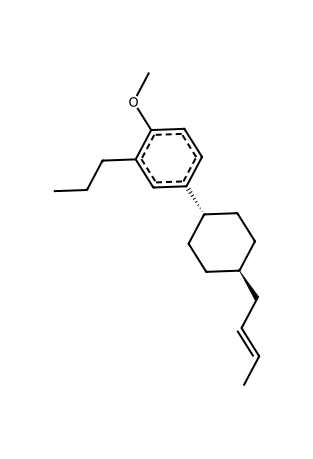 CC=CC[C@H]1CC[C@H](c2ccc(OC)c(CCC)c2)CC1